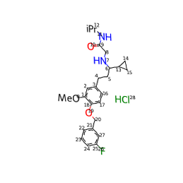 COc1cc(CCC(NCC(=O)NC(C)C)C2CC2)ccc1OCc1cccc(F)c1.Cl